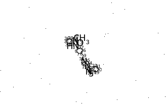 CN(C(=O)N[C@H]1CC[C@H](CCN2CCN(c3nsc4ccccc34)CC2)CC1)c1ccccc1